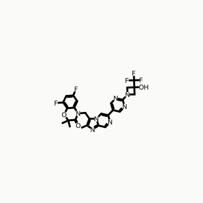 Cc1nc2cnc(-c3cnc(N4CC(O)(C(F)(F)F)C4)nc3)cn2c1CN1C(=O)C(C)(C)Oc2c(F)cc(F)cc21